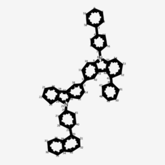 c1ccc(-c2ccc(-n3c4ccc(-c5ccc6c(c5)c5ccccc5n6-c5ccc(-c6cccc7ccccc67)cc5)cc4c4c(-c5ccccc5)cccc43)cc2)cc1